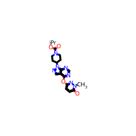 CC(C)OC(=O)N1CCC(n2ncc3c(Oc4ccc(=O)n(C)n4)ncnc32)CC1